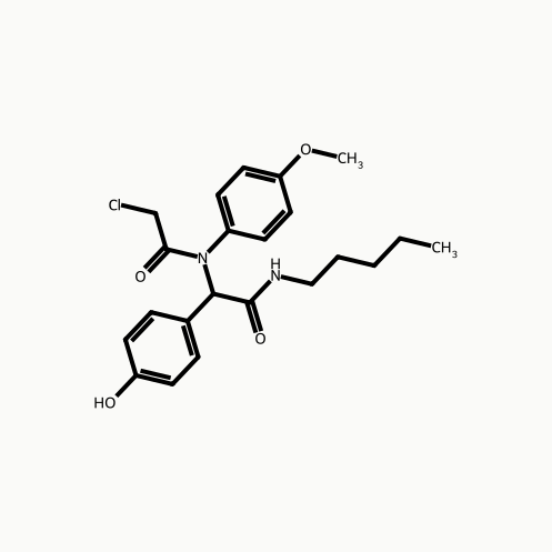 CCCCCNC(=O)C(c1ccc(O)cc1)N(C(=O)CCl)c1ccc(OC)cc1